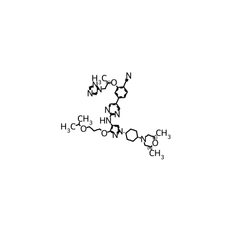 CC(C)OCCCOc1nn([C@H]2CC[C@H](N3C[C@@H](C)O[C@@H](C)C3)CC2)cc1Nc1ncc(-c2ccc(C#N)c(O[C@@H](C)Cn3cncn3)c2)cn1